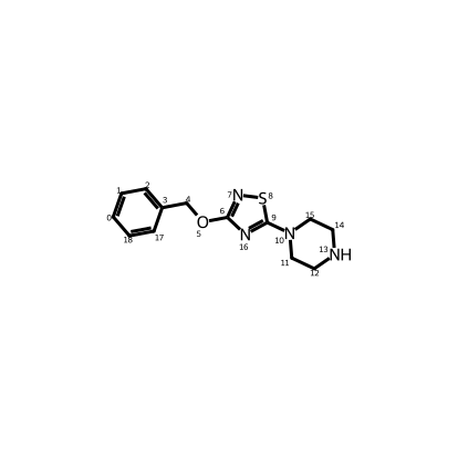 c1ccc(COc2nsc(N3CCNCC3)n2)cc1